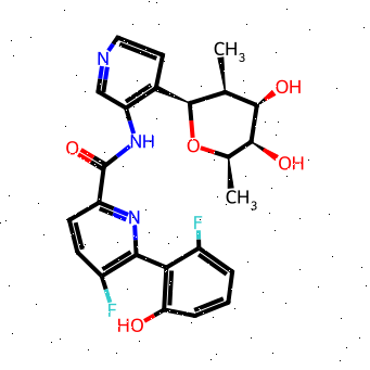 C[C@H]1[C@@H](O)[C@@H](O)[C@@H](C)O[C@H]1c1ccncc1NC(=O)c1ccc(F)c(-c2c(O)cccc2F)n1